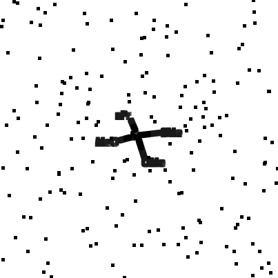 CCC[Si](OC)(OC)SC